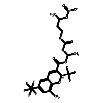 Cc1cc(S(F)(F)(F)(F)F)cc2c1O[C@H](C(F)(F)F)C(C(=O)OC(C)OC(=O)OCCC(C)O[N+](=O)[O-])=C2